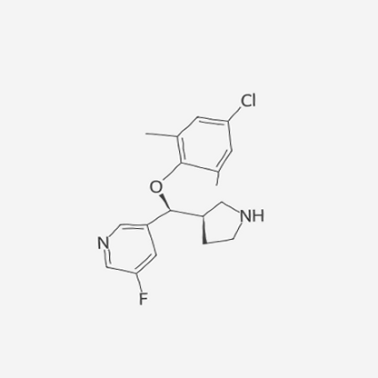 Cc1cc(Cl)cc(C)c1O[C@H](c1cncc(F)c1)[C@@H]1CCNC1